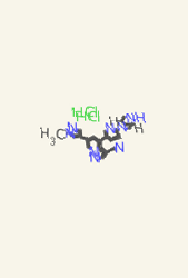 Cl.Cl.Cn1cc(-c2cc(-c3ccc(N4C[C@@H]5C[C@H]4CN5)nc3)c3c(C#N)cnn3c2)cn1